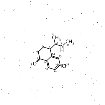 CNC(C)C1CCC(=O)c2ccccc21.Cl